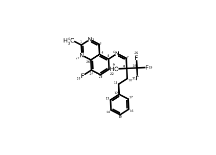 Cc1ncc2c(/N=C\C(O)(CCc3ccccc3)C(F)(F)F)ccc(F)c2n1